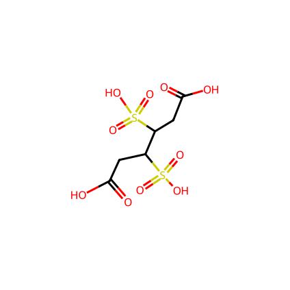 O=C(O)CC(C(CC(=O)O)S(=O)(=O)O)S(=O)(=O)O